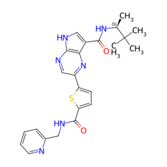 C[C@H](NC(=O)c1c[nH]c2ncc(-c3ccc(C(=O)NCc4ccccn4)s3)nc12)C(C)(C)C